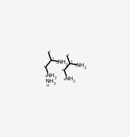 CC(N)CN.CC(N)CN.N